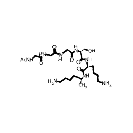 CC(=O)NCC(=O)NCC(=O)NCC(=O)N[C@H](CO)C(=O)N[C@@H](CCCCN)C(=O)N[C@@H](C)CCCCN